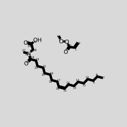 C=CC(=O)OOC.CCCCCCCC/C=C\CCCCCCCC(=O)N(C)CC(=O)O